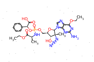 CCOC(=O)[C@H](C)NP(=O)(OC[C@H]1OC(n2cnc3c(OCC)nc(N)nc32)[C@](C)(N=[N+]=[N-])[C@@H]1O)OC(C(=O)O)c1ccccc1